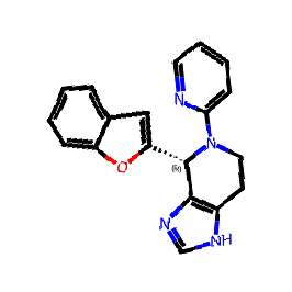 c1ccc(N2CCc3[nH]cnc3[C@@H]2c2cc3ccccc3o2)nc1